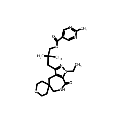 CCn1nc(CC(C)(C)COC(=O)c2cnc(C)nc2)c2c1C(=O)NCC1(CCOCC1)C2